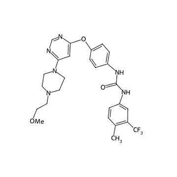 COCCN1CCN(c2cc(Oc3ccc(NC(=O)Nc4ccc(C)c(C(F)(F)F)c4)cc3)ncn2)CC1